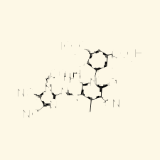 Cc1c(N=Nc2nc(C#N)c(C#N)n2CC(=O)O)c(O)n(-c2cc(C(=O)O)cc(C(=O)O)c2)c(=O)c1C#N